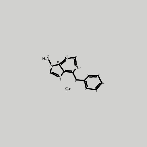 Nn1cnc2c(Cc3ccccc3)ncnc21.[Cu]